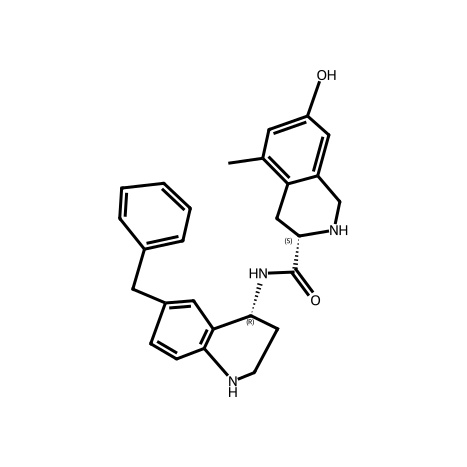 Cc1cc(O)cc2c1C[C@@H](C(=O)N[C@@H]1CCNc3ccc(Cc4ccccc4)cc31)NC2